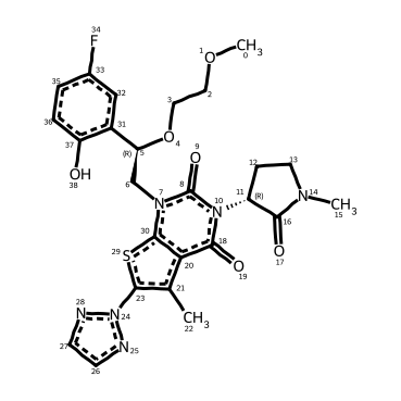 COCCO[C@@H](Cn1c(=O)n([C@@H]2CCN(C)C2=O)c(=O)c2c(C)c(-n3nccn3)sc21)c1cc(F)ccc1O